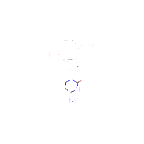 CC1(F)C(O[Si](C)(C)C(C)(C)C)[C@@H](CO)O[C@H]1n1ccc(N)nc1=O